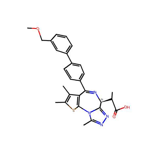 COCc1cccc(-c2ccc(C3=N[C@@H](C(C)C(=O)O)c4nnc(C)n4-c4sc(C)c(C)c43)cc2)c1